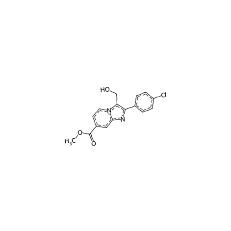 COC(=O)c1ccn2c(CO)c(-c3ccc(Cl)cc3)nc2c1